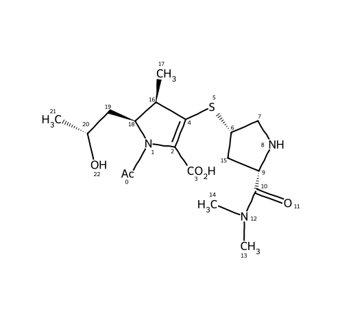 CC(=O)N1C(C(=O)O)=C(S[C@@H]2CN[C@H](C(=O)N(C)C)C2)[C@H](C)[C@@H]1C[C@@H](C)O